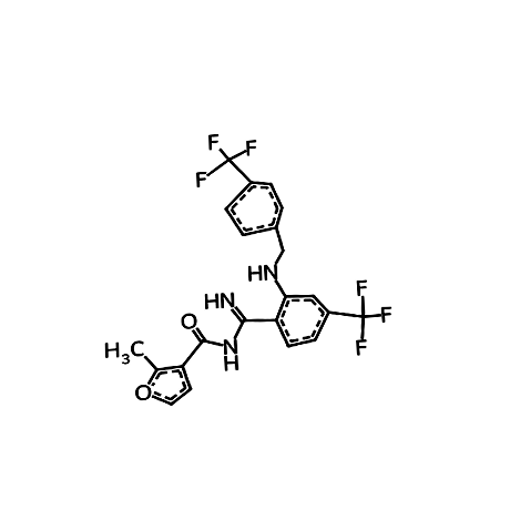 Cc1occc1C(=O)NC(=N)c1ccc(C(F)(F)F)cc1NCc1ccc(C(F)(F)F)cc1